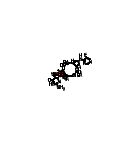 CC(C)(C)[Si](C)(C)O[C@H]1[C@H]2O[P@](=O)(S)OC[C@H]3C[C@@H](Nc4ncncc4F)C[C@@H]3O[P@](=O)(S)OC[C@H]1O[C@H]2n1cnc2c(=O)[nH]c(N)nc21